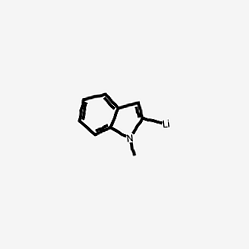 [Li][c]1cc2ccccc2n1C